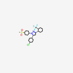 CS(=O)(=O)c1ccc(-n2nc(-c3ccccc3C(F)(F)F)cc2-c2ccc(Cl)cc2)cc1